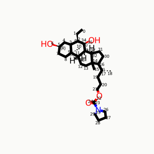 CC[C@@H]1C2C[C@H](O)CC[C@]2(C)[C@H]2CCC3(C)C([C@H](C)CCCOC(=O)N4CCCC4)CC[C@H]3[C@@H]2[C@@H]1O